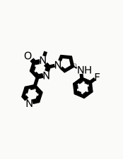 Cn1c(N2CC[C@H](Nc3ccccc3F)C2)nc(-c2ccncc2)cc1=O